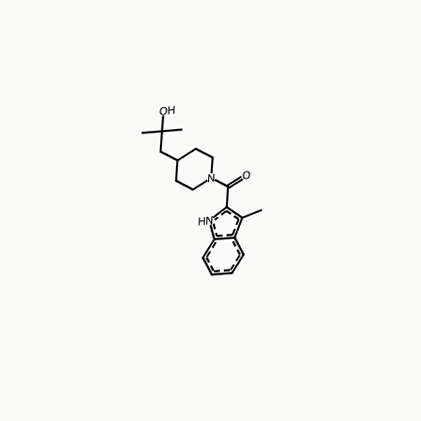 Cc1c(C(=O)N2CCC(CC(C)(C)O)CC2)[nH]c2ccccc12